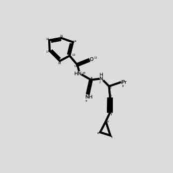 CC(C)C(C#CC1CC1)NC(=N)NC(=O)c1ccccc1